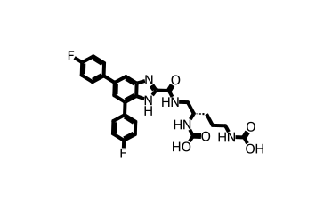 O=C(O)NCCC[C@@H](CNC(=O)c1nc2cc(-c3ccc(F)cc3)cc(-c3ccc(F)cc3)c2[nH]1)NC(=O)O